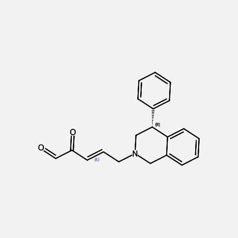 O=CC(=O)/C=C/CN1Cc2ccccc2[C@@H](c2ccccc2)C1